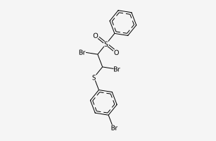 O=S(=O)(c1ccccc1)C(Br)C(Br)Sc1ccc(Br)cc1